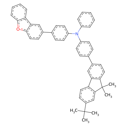 CC(C)(C)c1ccc2c(c1)C(C)(C)c1ccc(-c3ccc(N(c4ccccc4)c4ccc(-c5ccc6oc7ccccc7c6c5)cc4)cc3)cc1-2